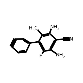 Cc1c(N)c(C#N)c(N)c(F)c1-c1cc#ccc1